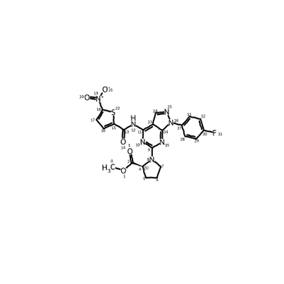 COC(=O)[C@@H]1CCCN1c1nc(NC(=O)c2ccc([N+](=O)[O-])s2)c2cnn(-c3ccc(F)cc3)c2n1